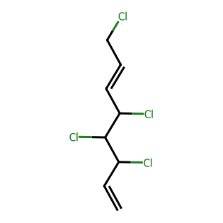 C=CC(Cl)C(Cl)C(Cl)C=CCCl